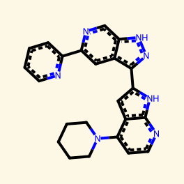 c1ccc(-c2cc3c(-c4cc5c(N6CCCCC6)ccnc5[nH]4)n[nH]c3cn2)nc1